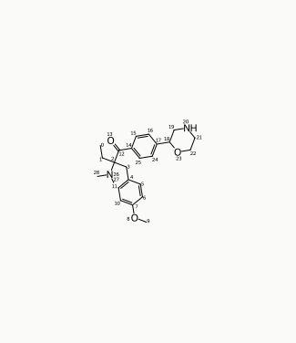 CCC(Cc1ccc(OC)cc1)(C(=O)c1ccc(C2CNCCO2)cc1)N(C)C